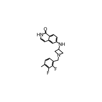 Cc1ccc(CN2CC(Nc3ccc4c(=O)[nH]ccc4c3)C2)c(F)c1F